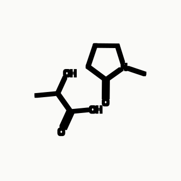 CC(O)C(=O)O.CN1CCCC1=O